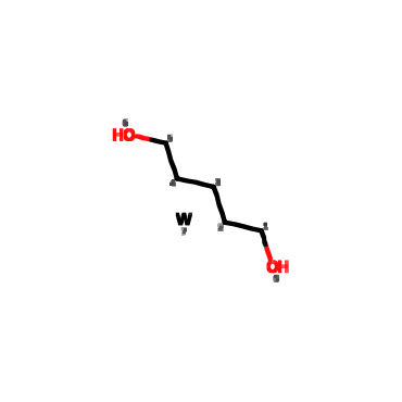 OCCCCCO.[W]